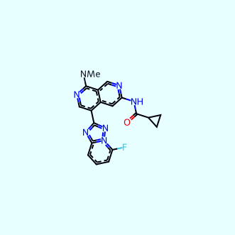 CNc1ncc(-c2nc3cccc(F)n3n2)c2cc(NC(=O)C3CC3)ncc12